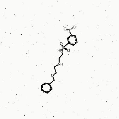 O=[N+]([O-])c1cccc(S(=O)(=O)NCCNCCOCc2ccccc2)c1